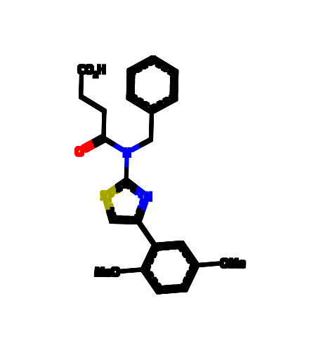 COc1ccc(OC)c(-c2csc(N(Cc3ccccc3)C(=O)CCC(=O)O)n2)c1